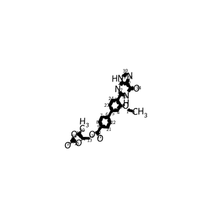 CCOc1cc(-c2ccc(C(=O)OCc3oc(=O)oc3C)cc2)ccc1-c1nc2[nH]cnc2c(=O)[nH]1